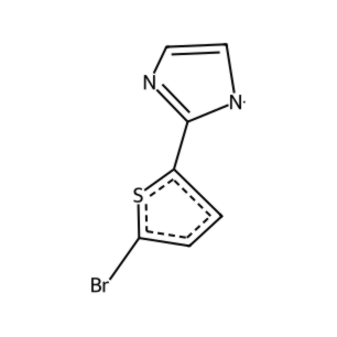 Brc1ccc(C2=NC=C[N]2)s1